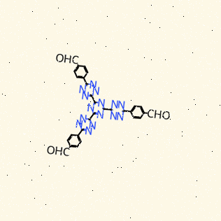 O=Cc1ccc(-c2nnc(-c3nc(-c4nnc(-c5ccc(C=O)cc5)nn4)nc(-c4nnc(-c5ccc(C=O)cc5)nn4)n3)nn2)cc1